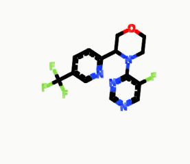 Fc1cncnc1N1CCOCC1c1ccc(C(F)(F)F)cn1